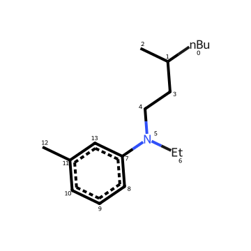 CCCCC(C)CCN(CC)c1cccc(C)c1